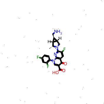 C[C@@H]1[C@@H]2[C@@H](CN)[C@@H]2CN1c1nc2c(cc1F)c(=O)c(C(=O)O)cn2-c1ccc(F)cc1F